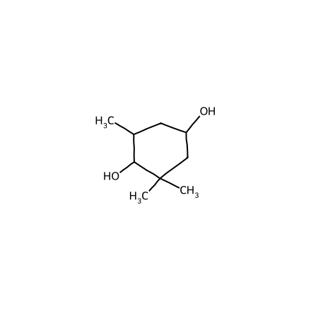 CC1CC(O)CC(C)(C)C1O